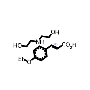 CCOc1ccc(/C=C/C(=O)O)cc1.OCCNCCO